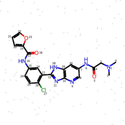 CN(C)CC(=O)Nc1cnc2nc(-c3cc(NC(=O)c4ccco4)ccc3Cl)[nH]c2c1